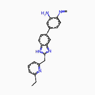 C=Nc1ccc(-c2ccc3[nH]c(Cc4cccc(CC)n4)nc3c2)cc1N